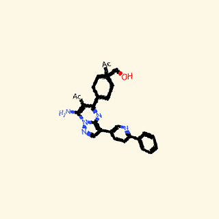 CC(=O)c1c(C2CCC(CO)(C(C)=O)CC2)nc2c(-c3ccc(-c4ccccc4)nc3)cnn2c1N